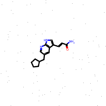 NC(=O)C=Cc1c[nH]c2ncc(CC3CCCC3)cc12